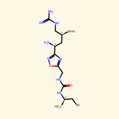 CC(=O)N[C@H](CNC(=N)N)C[C@H](N)c1noc(CNC(=O)N[C@@H](CC(C)C)C(=O)O)n1